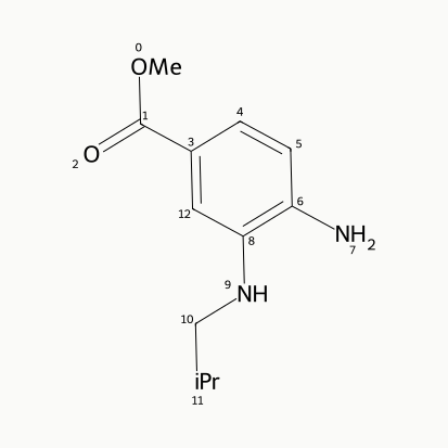 COC(=O)c1ccc(N)c(NCC(C)C)c1